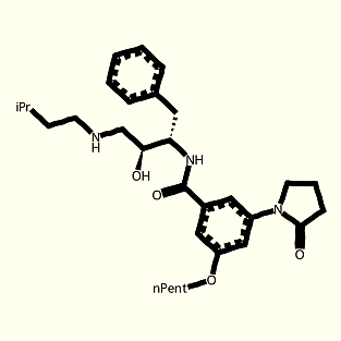 CCCCCOc1cc(C(=O)N[C@@H](Cc2ccccc2)[C@@H](O)CNCCC(C)C)cc(N2CCCC2=O)c1